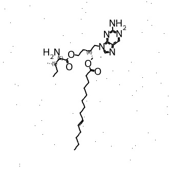 CCCCC=CCCCCCCCC(=O)OC[C@H](CCOC(=O)[C@@H](N)[C@@H](C)CC)Cn1cnc2cnc(N)nc21